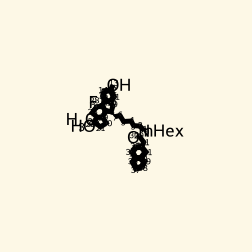 CCCCCCN(CCCCCC[C@@H]1Cc2cc(O)ccc2C2C1C1CC[C@H](O)[C@@]1(C)C[C@@H]2F)C(=O)Cc1ccc2ccccc2c1